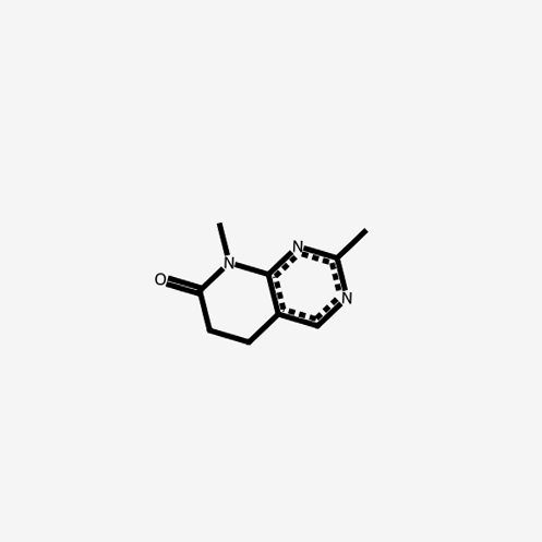 Cc1ncc2c(n1)N(C)C(=O)CC2